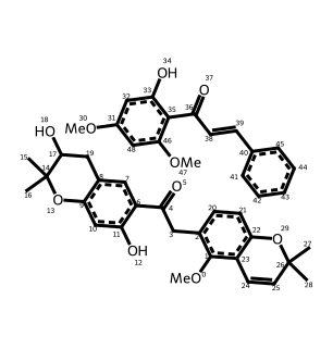 COc1c(CC(=O)c2cc3c(cc2O)OC(C)(C)C(O)C3)ccc2c1C=CC(C)(C)O2.COc1cc(O)c(C(=O)C=Cc2ccccc2)c(OC)c1